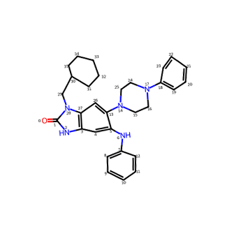 O=c1[nH]c2cc(Nc3ccccc3)c(N3CCN(c4ccccc4)CC3)cc2n1CC1CCCCC1